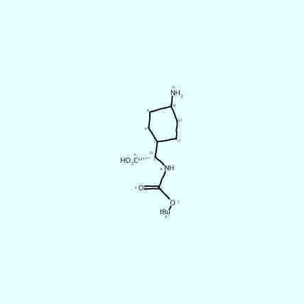 CC(C)(C)OC(=O)N[C@H](C(=O)O)C1CCC(N)CC1